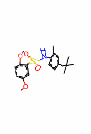 COc1ccc(OC)c(S(=O)(=O)Nc2ccc(C(C)(C)C)cc2C)c1